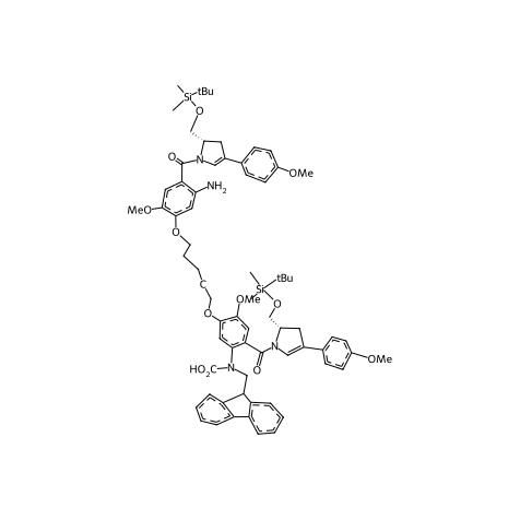 COc1ccc(C2=CN(C(=O)c3cc(OC)c(OCCCCCOc4cc(N(CC5c6ccccc6-c6ccccc65)C(=O)O)c(C(=O)N5C=C(c6ccc(OC)cc6)C[C@H]5CO[Si](C)(C)C(C)(C)C)cc4OC)cc3N)[C@H](CO[Si](C)(C)C(C)(C)C)C2)cc1